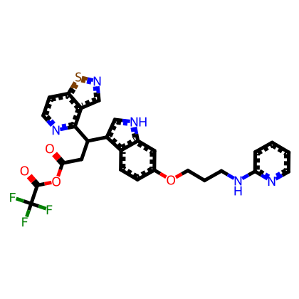 O=C(CC(c1c[nH]c2cc(OCCCNc3ccccn3)ccc12)c1nccc2sncc12)OC(=O)C(F)(F)F